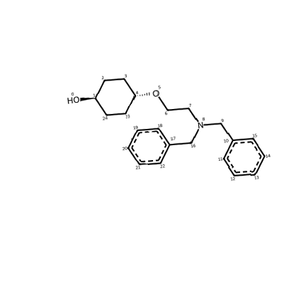 O[C@H]1CC[C@H](OCCN(Cc2ccccc2)Cc2ccccc2)CC1